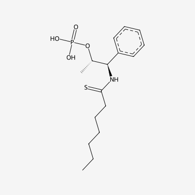 CCCCCCC(=S)N[C@H](c1ccccc1)[C@H](C)OP(=O)(O)O